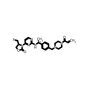 C=CC(=O)N1CCN(Cc2ccc([C@H](C)Nc3nccc(N4C(=O)OCC4CF)n3)cc2)CC1